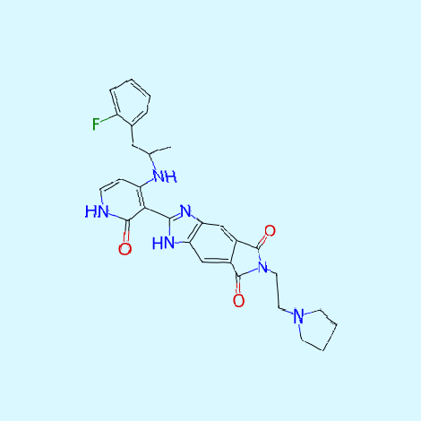 CC(Cc1ccccc1F)Nc1cc[nH]c(=O)c1-c1nc2cc3c(cc2[nH]1)C(=O)N(CCN1CCCC1)C3=O